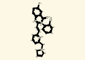 O=c1c2cc(F)ccc2nc(/C=C/c2cccc(CN3CC=CC3)n2)n1-c1ccccc1Cl